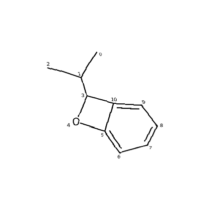 CC(C)C1Oc2ccccc21